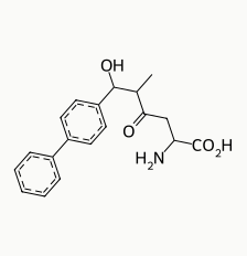 CC(C(=O)CC(N)C(=O)O)C(O)c1ccc(-c2ccccc2)cc1